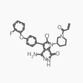 C=CC(=O)N1CCC[C@@H](n2c(Cl)c(-c3ccc(Oc4ccccc4F)cc3)c3c(N)n[nH]c(=O)c32)C1